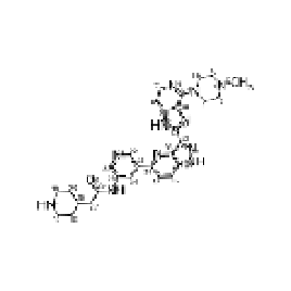 CN1CCN(c2nccc3[nH]c(-c4n[nH]c5ccc(-c6cncc(NC(=O)CC7CCNCC7)c6)nc45)nc23)CC1